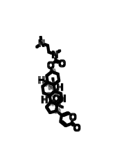 CN(C)CCN(C)C(=O)O[C@H]1CC[C@@]2(C)[C@H](CC[C@@H]3[C@@H]2CC[C@]2(C)[C@@H](c4ccc(=O)oc4)CC[C@]32O)C1